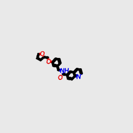 O=C(NCc1cccc(OCC2CCCO2)c1)c1ccc2ncccc2c1